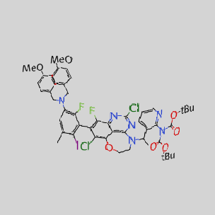 COc1ccc(CN(Cc2ccc(OC)cc2)c2cc(C)c(I)c(-c3c(Cl)c4c5c(nc(Cl)nc5c3F)N(C(C)c3cccnc3N(C(=O)OC(C)(C)C)C(=O)OC(C)(C)C)CCO4)c2F)cc1